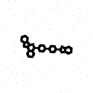 c1ccc2c(c1)c(-c1ccc(-c3ccc(-c4cn5ccccc5n4)cc3)cc1)nc1c2nc2ccccn21